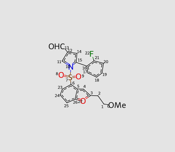 COCCc1cc2c(S(=O)(=O)n3cc(C=O)cc3-c3ccccc3F)cccc2o1